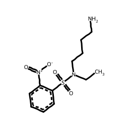 CCN(CCCCN)S(=O)(=O)c1ccccc1[N+](=O)[O-]